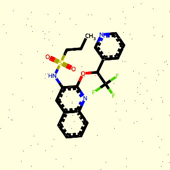 CCCS(=O)(=O)Nc1cc2ccccc2nc1OC(c1cccnc1)C(F)(F)F